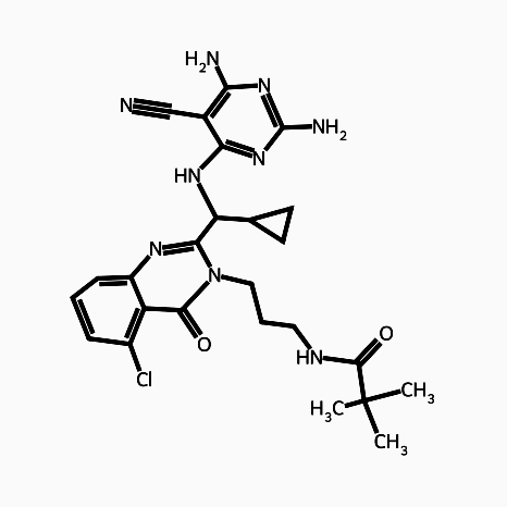 CC(C)(C)C(=O)NCCCn1c(C(Nc2nc(N)nc(N)c2C#N)C2CC2)nc2cccc(Cl)c2c1=O